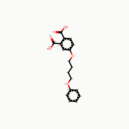 O=C(O)c1ccc(OCCCCOc2ccccc2)cc1C(=O)O